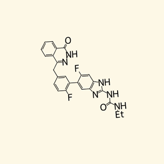 CCNC(=O)Nc1nc2cc(-c3cc(Cc4n[nH]c(=O)c5ccccc45)ccc3F)c(F)cc2[nH]1